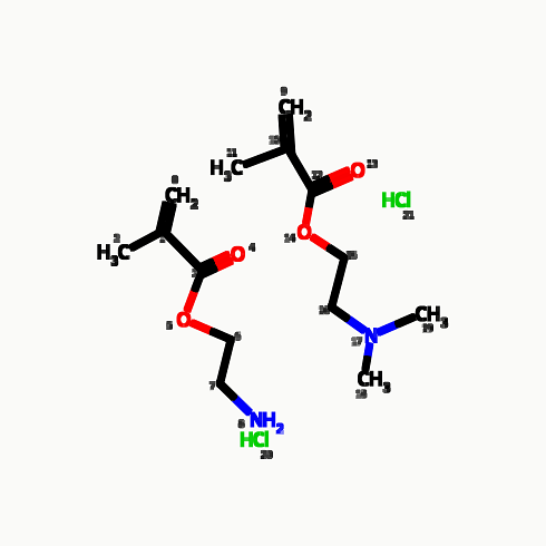 C=C(C)C(=O)OCCN.C=C(C)C(=O)OCCN(C)C.Cl.Cl